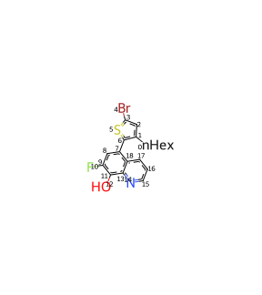 CCCCCCc1cc(Br)sc1-c1cc(F)c(O)c2ncccc12